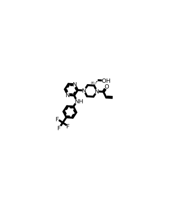 C=CC(=O)N1CCN(c2nccnc2Nc2ccc(C(F)(F)F)cc2)C[C@@H]1CO